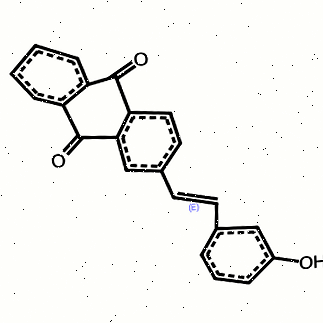 O=C1c2ccccc2C(=O)c2cc(/C=C/c3cccc(O)c3)ccc21